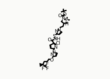 CC(C)(C)OC(=O)N1CC(CCn2ccc(SNC(=O)c3ccc(-n4ccc(OCCCC5(C(F)(F)F)CC5)n4)nc3Cl)n2)C[PH]1(C)C